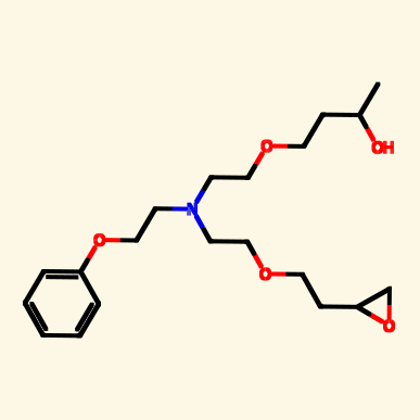 CC(O)CCOCCN(CCOCCC1CO1)CCOc1ccccc1